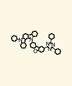 c1ccc(-c2nc(-c3ccccc3)nc(-c3ccc4oc5ccc(-n6c7ccccc7c7ccc8c(c9ccccc9n8-c8ccccc8)c76)cc5c4c3)n2)cc1